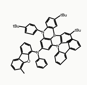 Cc1cccc2c1oc1c(N(c3ccccc3)c3cc4c5c(c3)N(c3ccccc3-c3ccccc3)c3ccc(C(C)(C)C)cc3B5c3cc(C(C)(C)C)ccc3N4c3ccc(C(C)(C)C)cc3)cccc12